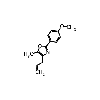 C=CCc1nc(-c2ccc(OC)cc2)oc1C